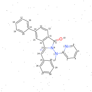 CN(c1ccccn1)N1C(=O)c2ccc(-c3ccccc3)cc2/C1=C/c1ccccc1